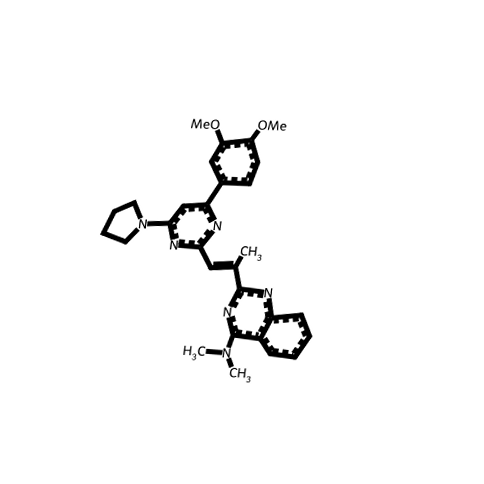 COc1ccc(-c2cc(N3CCCC3)nc(C=C(C)c3nc(N(C)C)c4ccccc4n3)n2)cc1OC